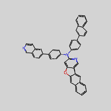 c1ccc2cc(-c3ccc(N(c4ccc(-c5ccc6cnccc6c5)cc4)c4cc5oc6cc7ccccc7cc6c5cn4)cc3)ccc2c1